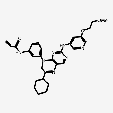 C=CC(=O)Nc1cccc(N2CC(C3CCCCC3)=Nc3cnc(Nc4cncc(OCCOC)c4)nc32)c1